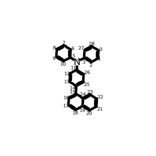 c1ccc(N(c2ccccc2)c2ccc(-c3cccc4ccccc34)cc2)cc1